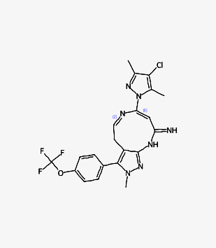 Cc1nn(C2=C/C(=N)Nc3nn(C)c(-c4ccc(OC(F)(F)F)cc4)c3C/C=N\2)c(C)c1Cl